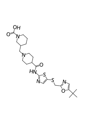 CC(C)(C)c1cnc(CSc2cnc(NC(=O)C3CCN(CC4CCCN(C(=O)O)C4)CC3)s2)o1